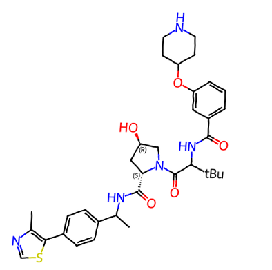 Cc1ncsc1-c1ccc(C(C)NC(=O)[C@@H]2C[C@@H](O)CN2C(=O)C(NC(=O)c2cccc(OC3CCNCC3)c2)C(C)(C)C)cc1